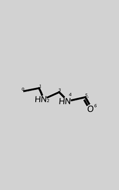 CCNCN[C]=O